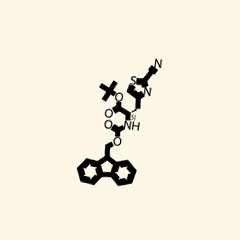 CC(C)(C)OC(=O)[C@H](Cc1csc(C#N)n1)NC(=O)OCC1c2ccccc2-c2ccccc21